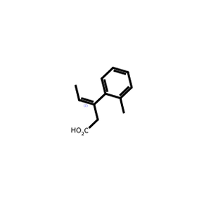 C/C=C(/CC(=O)O)c1ccccc1C